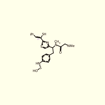 CNCC(=O)N(C)C(Cc1ccc(NSO)cc1)c1csc(/C(S)=C/C(C)C)n1